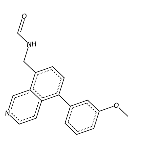 COc1cccc(-c2ccc(CNC=O)c3cnccc23)c1